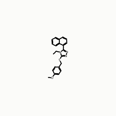 CCn1c(SCc2ccc(OC)cc2)nnc1-c1cccc2ccccc12